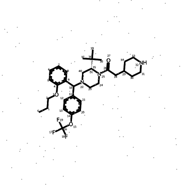 CCCOc1ccccc1C(c1ccc(OC(F)(F)F)cc1)N1CCN(C(=O)CC2CCNCC2)[C@@H](C(C)(C)C)C1